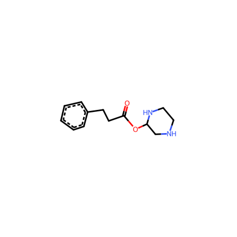 O=C(CCc1ccccc1)OC1CNCCN1